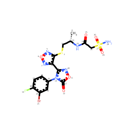 C[C@@H](CSc1nonc1-c1noc(=O)n1-c1ccc(F)c(Br)c1)NC(=O)CS(N)(=O)=O